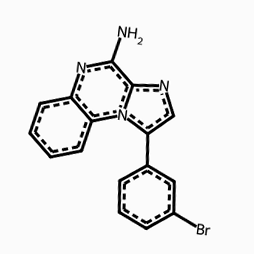 Nc1nc2ccccc2n2c(-c3cccc(Br)c3)cnc12